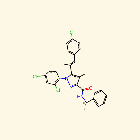 CC(=Cc1ccc(Cl)cc1)c1c(C)c(C(=O)N[C@@H](C)c2ccccc2)nn1-c1ccc(Cl)cc1Cl